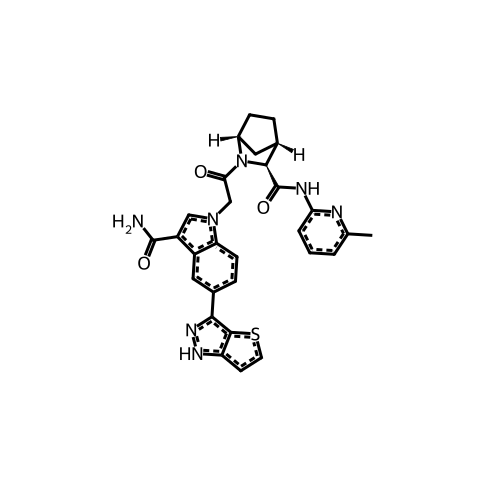 Cc1cccc(NC(=O)[C@@H]2[C@H]3CC[C@H](C3)N2C(=O)Cn2cc(C(N)=O)c3cc(-c4n[nH]c5ccsc45)ccc32)n1